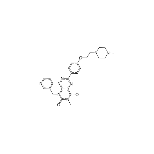 CN1CCN(CCOc2ccc(-c3nnc4c(n3)c(=O)n(C)c(=O)n4Cc3cccnc3)cc2)CC1